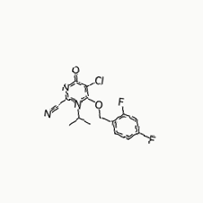 CC(C)n1c(C#N)nc(=O)c(Cl)c1OCc1ccc(F)cc1F